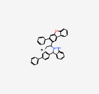 CCC(c1cc2c(cc1-c1ccccc1)oc1ccccc12)N1Nc2ccccc2C1c1ccc(-c2ccccc2)cc1